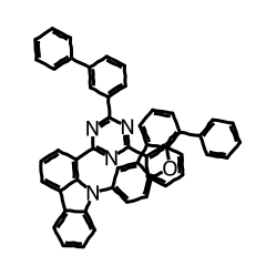 c1ccc(-c2cccc(-c3nc(-c4ccccc4)nc(-c4cccc5c6ccccc6n(-c6ccc7oc8c(-c9ccccc9)cccc8c7c6)c45)n3)c2)cc1